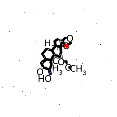 COCO[C@H]1C[C@@]2(C)C(CC[C@@]23COCC32CCOC2)C2CCC3=CC(=O)/C(=C\O)C[C@]3(C)C21